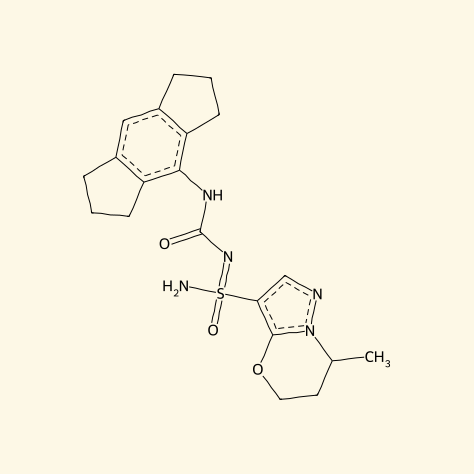 CC1CCOc2c(S(N)(=O)=NC(=O)Nc3c4c(cc5c3CCC5)CCC4)cnn21